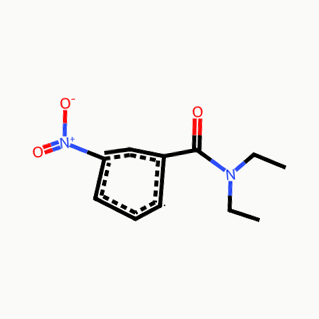 CCN(CC)C(=O)c1[c]ccc([N+](=O)[O-])c1